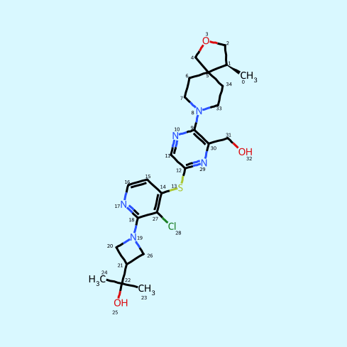 C[C@@H]1COCC12CCN(c1ncc(Sc3ccnc(N4CC(C(C)(C)O)C4)c3Cl)nc1CO)CC2